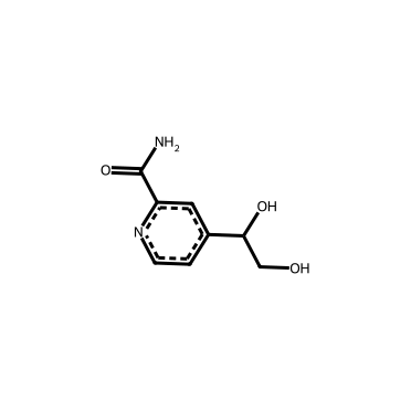 NC(=O)c1cc(C(O)CO)ccn1